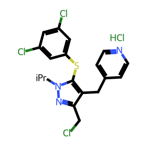 CC(C)n1nc(CCl)c(Cc2ccncc2)c1Sc1cc(Cl)cc(Cl)c1.Cl